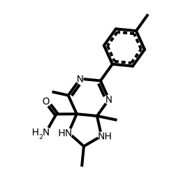 CC1=NC(c2ccc(C)cc2)=NC2(C)NC(C)NC12C(N)=O